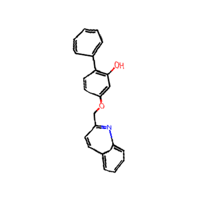 Oc1cc(OCc2ccc3ccccc3n2)ccc1-c1ccccc1